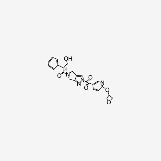 O=C([C@H](CO)c1ccccc1)N1Cc2cn(S(=O)(=O)c3ccc(OC4COC4)nc3)nc2C1